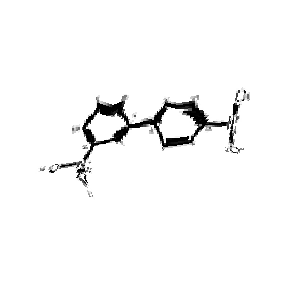 O=[N+]([O-])c1ccc(-c2cccc([N+](=O)[O-])c2)cc1